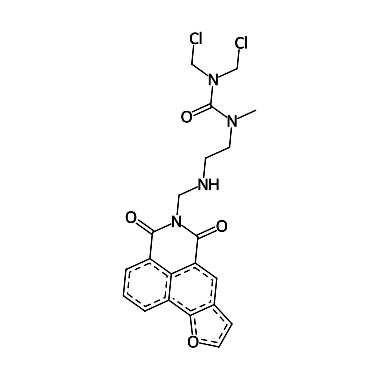 CN(CCNCN1C(=O)c2cccc3c2c(cc2ccoc23)C1=O)C(=O)N(CCl)CCl